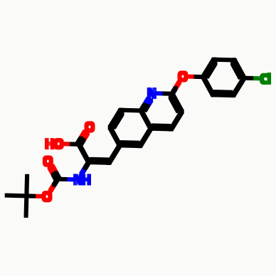 CC(C)(C)OC(=O)N/C(=C/c1ccc2nc(Oc3ccc(Cl)cc3)ccc2c1)C(=O)O